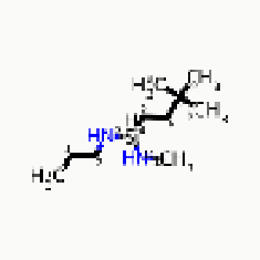 CCCN[SiH](CCC(C)(C)C)NC